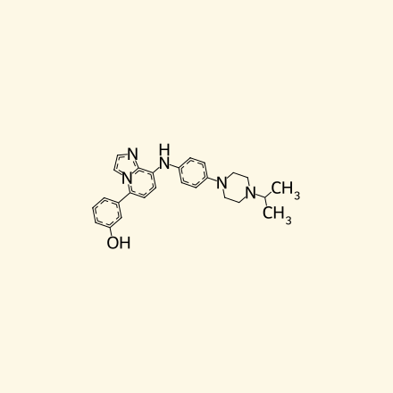 CC(C)N1CCN(c2ccc(Nc3ccc(-c4cccc(O)c4)n4ccnc34)cc2)CC1